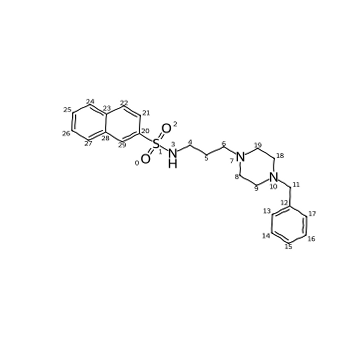 O=S(=O)(NCCCN1CCN(Cc2ccccc2)CC1)c1ccc2ccccc2c1